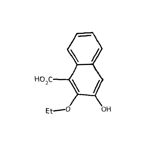 CCOc1c(O)cc2ccccc2c1C(=O)O